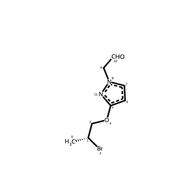 C[C@@H](Br)COc1ccn(CC=O)n1